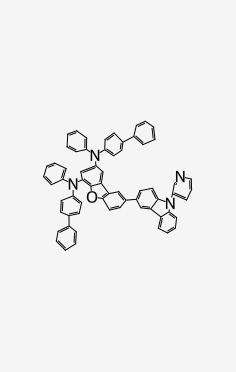 c1ccc(-c2ccc(N(c3ccccc3)c3cc(N(c4ccccc4)c4ccc(-c5ccccc5)cc4)c4oc5ccc(-c6ccc7c(c6)c6ccccc6n7-c6cccnc6)cc5c4c3)cc2)cc1